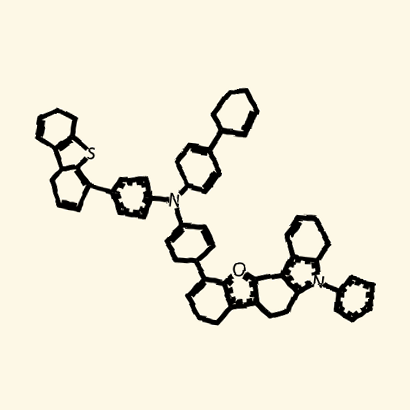 C1=CC(C2=CCC(N(C3=CCC(C4=CCCc5c4oc4c5CCc5c-4c4c(n5-c5ccccc5)CCC=C4)C=C3)c3ccc(C4=C5SC6=C(C=CCC6)C5CC=C4)cc3)C=C2)CCC1